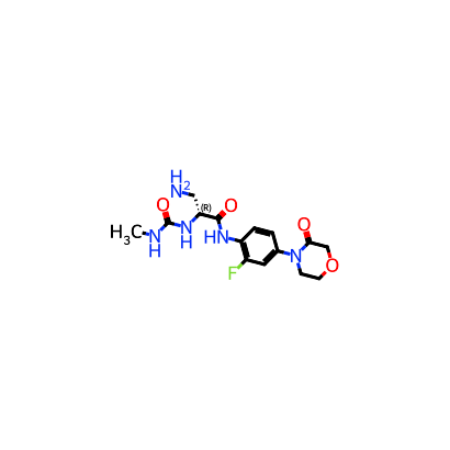 CNC(=O)N[C@H](CN)C(=O)Nc1ccc(N2CCOCC2=O)cc1F